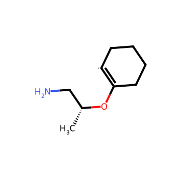 C[C@H](CN)OC1=[C]CCCC1